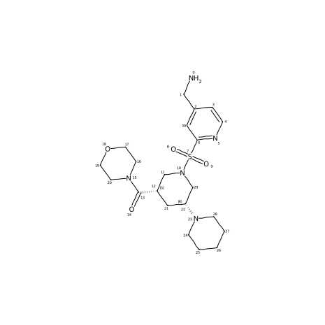 NCc1ccnc(S(=O)(=O)N2C[C@@H](C(=O)N3CCOCC3)C[C@@H](N3CCCCC3)C2)c1